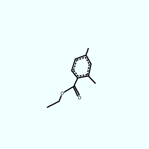 CCOC(=O)c1ccc(C)cc1C